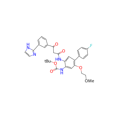 COCCOc1cc(NC(=O)OC(C)(C)C)c(NC(=O)CC(=O)c2cccc(-c3ncc[nH]3)c2)cc1-c1ccc(F)cc1